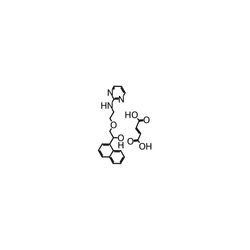 O=C(O)C=CC(=O)O.OC(COCCNc1ncccn1)c1cccc2ccccc12